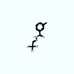 O=C(NN=CC(Cl)(Cl)Cl)c1cccc(I)c1